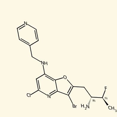 C[C@H](F)[C@H](N)Cc1oc2c(NCc3ccncc3)cc(Cl)nc2c1Br